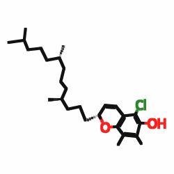 Cc1c(C)c2c(c(Cl)c1O)C=C[C@@H](CCC[C@@H](C)CCC[C@@H](C)CCCC(C)C)O2